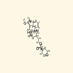 CSc1c2c3c(cccc3n1C)[C@@H]1CC(CCOC(=O)N3CCOCC3)CN(C)[C@H]1C2